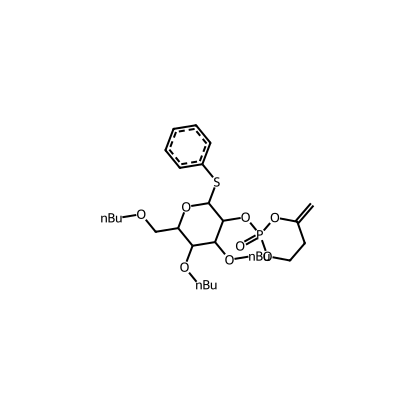 C=C1CCOP(=O)(OC2C(Sc3ccccc3)OC(COCCCC)C(OCCCC)C2OCCCC)O1